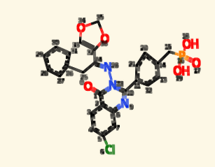 O=c1c2ccc(Cl)cc2nc(-c2ccc(CP(=O)(O)O)cc2)n1N=C(Cc1ccccc1)C1=COCO1